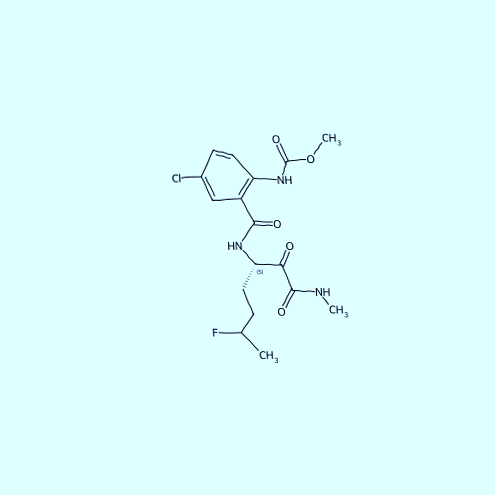 CNC(=O)C(=O)[C@H](CCC(C)F)NC(=O)c1cc(Cl)ccc1NC(=O)OC